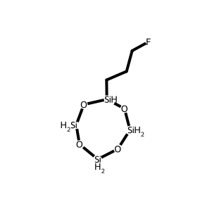 FCCC[SiH]1O[SiH2]O[SiH2]O[SiH2]O1